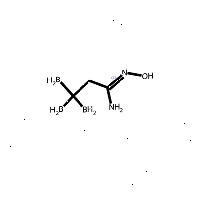 BC(B)(B)C/C(N)=N/O